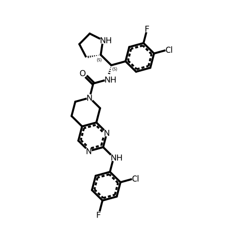 O=C(N[C@@H](c1ccc(Cl)c(F)c1)[C@@H]1CCCN1)N1CCc2cnc(Nc3ccc(F)cc3Cl)nc2C1